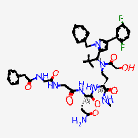 CNC(=O)[C@H](CCN(C(=O)CO)[C@@H](c1cc(-c2cc(F)ccc2F)cn1Cc1ccccc1)C(C)(C)C)NC(=O)[C@H](CC(N)=O)NC(=O)CNC(=O)CNC(=O)Cc1ccccc1